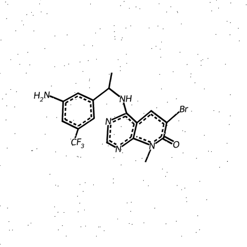 CC(Nc1ncnc2c1cc(Br)c(=O)n2C)c1cc(N)cc(C(F)(F)F)c1